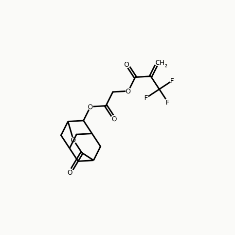 C=C(C(=O)OCC(=O)OC1C2CC3CC(C2)C(=O)OC1C3)C(F)(F)F